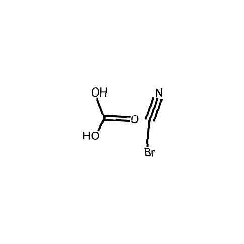 N#CBr.O=C(O)O